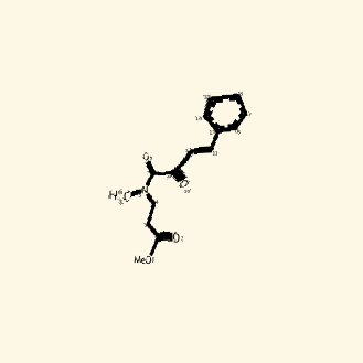 COC(=O)CCN(C)C(=O)C(=O)/C=C/c1ccccc1